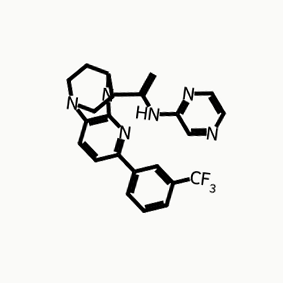 C=C(Nc1cnccn1)N1c2nc(-c3cccc(C(F)(F)F)c3)ccc2N2CCC1CC2